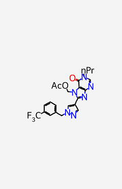 CCCn1cnc2nc(-c3cnn(Cc4cccc(C(F)(F)F)c4)c3)n(COC(C)=O)c2c1=O